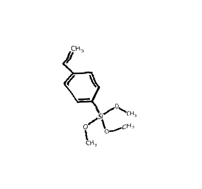 C=Cc1ccc([Si](OC)(OC)OC)cc1